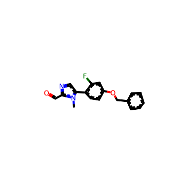 Cn1c(-c2ccc(OCc3ccccc3)cc2F)cnc1C=O